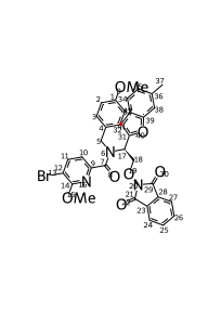 COc1ccc(CN(C(=O)c2ccc(Br)c(OC)n2)[C@H](CON2C(=O)c3ccccc3C2=O)c2cc3ccc(C)cc3o2)cc1